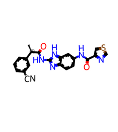 C[C@@H](C(=O)Nc1nc2ccc(NC(=O)c3cscn3)cc2[nH]1)c1cccc(C#N)c1